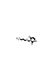 CCCCOCn1c(=O)cc[nH]c1=S